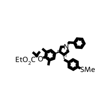 CCOC(=O)C(C)(C)Oc1c(C)cc([C@H]2CN(Cc3ccccc3)C[C@@H]2Cc2ccc(SC)cc2)cc1C